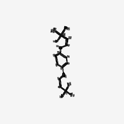 FC(F)(F)/C=C\Oc1ccc(O/C=C\C(F)(F)F)cc1